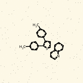 Cc1ccc(-c2ccsc2-c2ccc(C)cc2)cc1.c1ccc2ncccc2c1